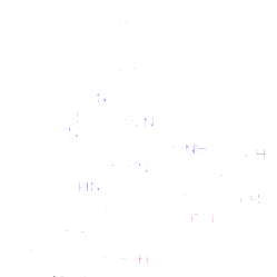 CC(C)C(CO)Nc1nc(NCc2cc(F)ccc2O)c2ncn(C3CCCCC3)c2n1